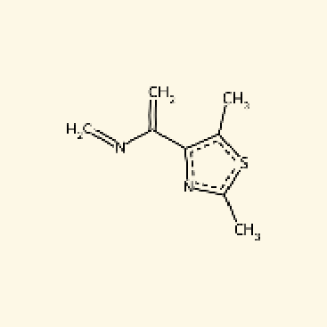 C=NC(=C)c1nc(C)sc1C